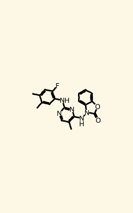 Cc1cc(F)c(Nc2ncc(C)c(Nn3c(=O)oc4ccccc43)n2)cc1C